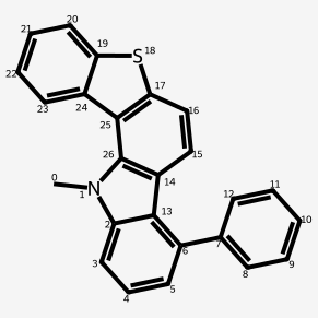 Cn1c2cccc(-c3ccccc3)c2c2ccc3sc4ccccc4c3c21